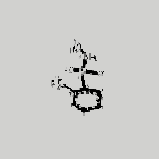 O=S(=O)(NO)c1ccccc1C(F)(F)F